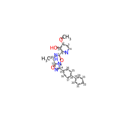 COc1ccnc(C(=O)N[C@@H](C)c2nc(-c3ccc(-c4ccccc4)cc3)no2)c1O